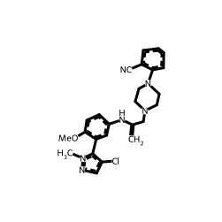 C=C(CN1CCN(c2ccccc2C#N)CC1)Nc1ccc(OC)c(-c2c(Cl)cnn2C)c1